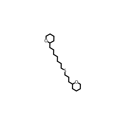 C(CCCSCCCC1CCCCO1)CCCC1CCCCO1